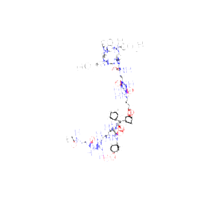 CCC(=O)NCCNC(=O)/N=C(/N)NCCCC[C@@H](NC(=O)[C@@H](c1ccccc1)c1cccc(OCCCCNC(=O)NNC(=O)CCNC(=O)CN2CCN(CC(=O)O)CCN(CC(=O)O)CCN(CC(=O)O)CC2)c1)C(=O)NCc1ccc(O)cc1